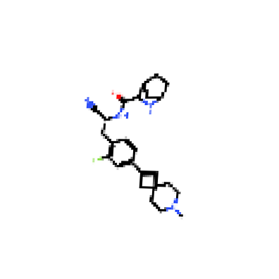 CN1CCC2(C=C(c3ccc(C[C@@H](C#N)NC(=O)C4NC5CCC4C5)c(F)c3)C2)CC1